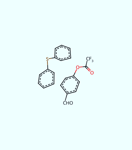 O=Cc1ccc(OC(=O)C(F)(F)F)cc1.c1ccc(Sc2ccccc2)cc1